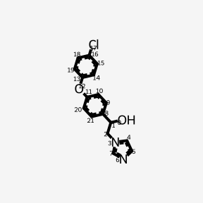 OC(Cn1ccnc1)c1ccc(Oc2ccc(Cl)cc2)cc1